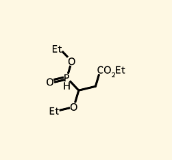 CCOC(=O)CC(OCC)[PH](=O)OCC